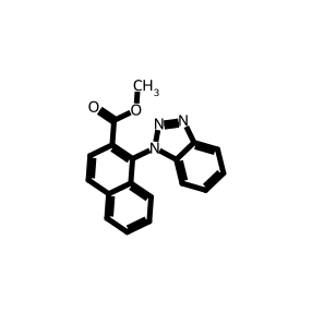 COC(=O)c1ccc2ccccc2c1-n1nnc2ccccc21